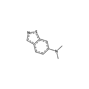 CN(C)c1ccc2cnsc2c1